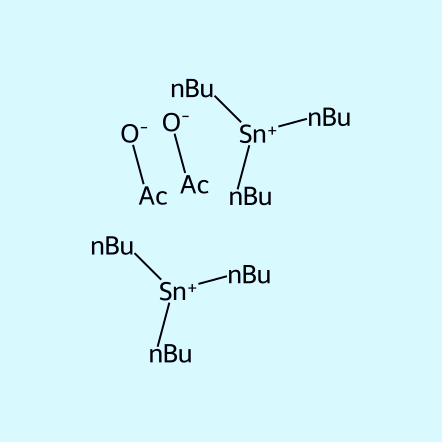 CC(=O)[O-].CC(=O)[O-].CCC[CH2][Sn+]([CH2]CCC)[CH2]CCC.CCC[CH2][Sn+]([CH2]CCC)[CH2]CCC